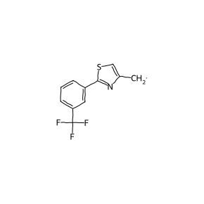 [CH2]c1csc(-c2cccc(C(F)(F)F)c2)n1